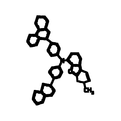 CC1C=Cc2c(oc3c(N(c4ccc(-c5ccc6ccccc6c5)cc4)c4ccc(-c5cc6ccccc6c6ccccc56)cc4)cccc23)C1